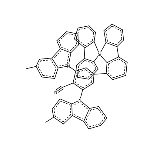 Cc1ccc2c(c1)c1ccccc1n2-c1cc(-c2cccc3c2[Si]2(c4ccccc4-c4ccccc42)c2ccccc2-3)cc(-n2c3ccccc3c3cc(C)ccc32)c1C#N